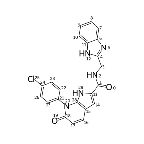 O=C(NCc1nc2ccccc2[nH]1)c1cc2ccc(=O)n(-c3ccc(Cl)cc3)c2[nH]1